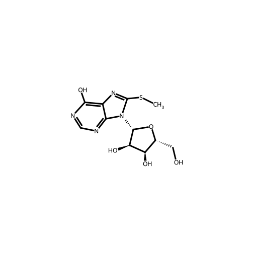 CSc1nc2c(O)ncnc2n1[C@@H]1O[C@H](CO)[C@@H](O)[C@H]1O